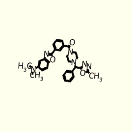 Cc1nnc(C(c2ccccc2)N2CCN(C(=O)c3cccc(-c4nc5cc(N(C)C)ccc5o4)c3)CC2)o1